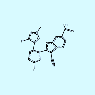 Cn1cc(-c2ccc(F)cc2-c2nc3cc(C(=O)O)ccn3c2C#N)c(F)n1